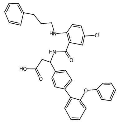 O=C(O)CC(NC(=O)c1cc(Cl)ccc1NCCCc1ccccc1)c1ccc(-c2ccccc2Oc2ccccc2)cc1